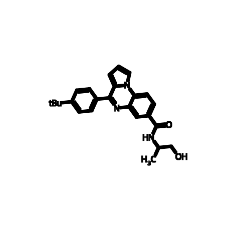 CC(CO)NC(=O)c1ccc2c(c1)nc(-c1ccc(C(C)(C)C)cc1)c1cccn12